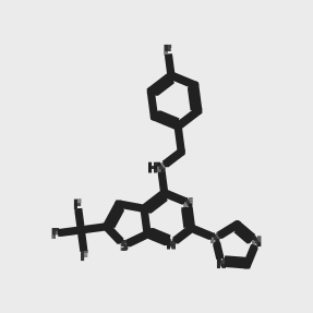 Fc1ccc(CNc2nc(-n3cncn3)nc3sc(C(F)(F)F)cc23)cc1